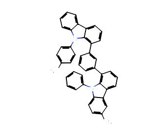 N#Cc1ccc(-n2c3ccccc3c3cccc(-c4cccc(-c5cccc6c7cc(C#N)ccc7n(-c7ccccc7)c56)c4)c32)cc1